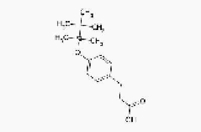 CC(C)(C)[Si](C)(C)Oc1ccc(CCC(=O)O)cc1